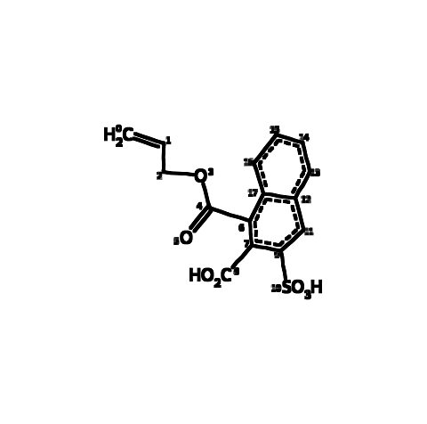 C=CCOC(=O)c1c(C(=O)O)c(S(=O)(=O)O)cc2ccccc12